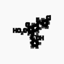 O=C(O)c1cn([C@H](CO)Cc2ccccc2)c2ccc(C(F)c3cccc(Cl)c3)cc2c1=O